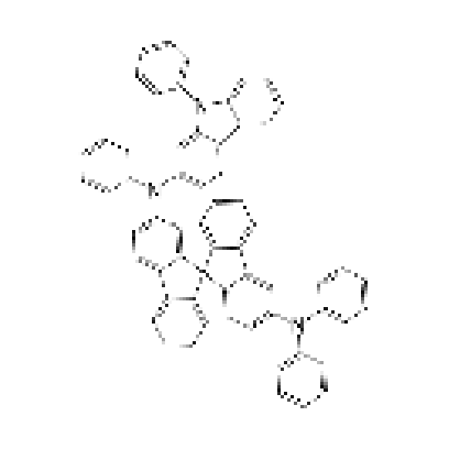 c1ccc(N(c2ccccc2)c2ccc3c(c2)-c2ccccc2C32c3ccccc3-c3ccc(N(c4ccccc4)c4ccc5c6ccccc6n(-c6ccccc6)c5c4)cc32)cc1